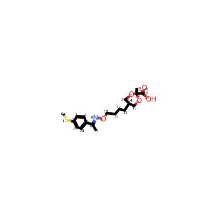 CSc1ccc(C(C)=NOCCCCC2COC(C)(C(=O)O)OC2)cc1